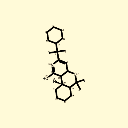 CC1(C)OC2C=C(C(C)(C)C3CCCCC3)N=C(O)C2[C@H]2CCCCC21